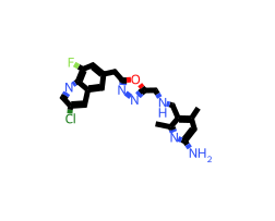 Cc1cc(N)nc(C)c1CNCc1nnc(Cc2cc(F)c3ncc(Cl)cc3c2)o1